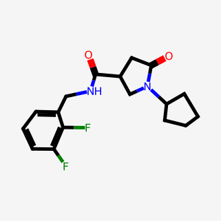 O=C(NCc1cccc(F)c1F)C1CC(=O)N(C2CCCC2)C1